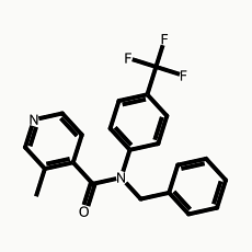 Cc1cnccc1C(=O)N(Cc1ccccc1)c1ccc(C(F)(F)F)cc1